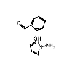 Nn1nccn1.O=Cc1ccccc1O